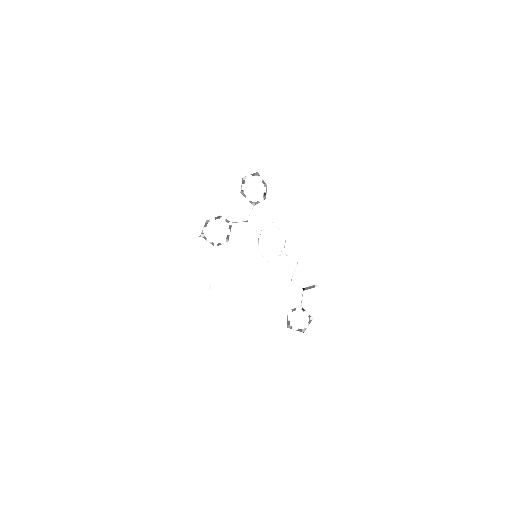 Cl.Cl.O=C(CCN1CCN(C(c2ccccc2)c2ccc(Cl)cc2)CC1)c1cccs1